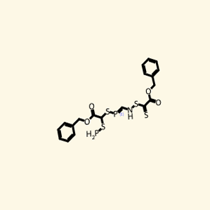 O=C(OCc1ccccc1)C(=S)SN/C=P/SC(SP)C(=O)OCc1ccccc1